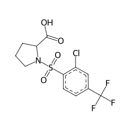 O=C(O)C1CCCN1S(=O)(=O)c1ccc(C(F)(F)F)cc1Cl